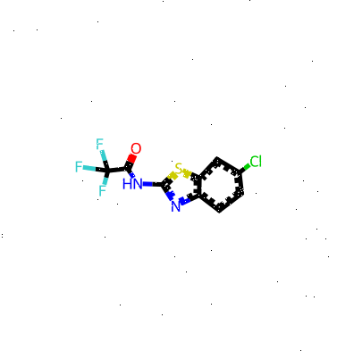 O=C(Nc1nc2ccc(Cl)cc2s1)C(F)(F)F